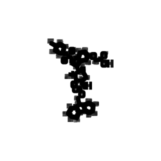 C#CCC(NC(=O)OCC1c2ccccc2-c2ccccc21)C(=O)N(C)Cc1cn(S(=O)(=O)c2ccc(C)cc2)c2ccc(OCC(=O)O)cc12